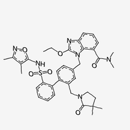 CCOc1nc2cccc(C(=O)N(C)C)c2n1Cc1ccc(-c2ccccc2S(=O)(=O)Nc2onc(C)c2C)c(CN2CCC(C)(C)C2=O)c1